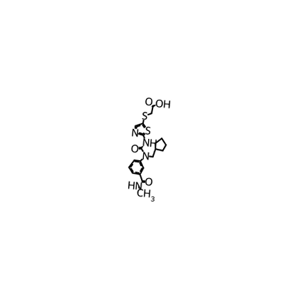 CNC(=O)c1cccc(N(CC2CCCC2)C(=O)Nc2ncc(SCC(=O)O)s2)c1